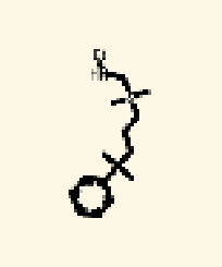 CCNCS(C)(C)CCCC(C)(C)c1ccccc1